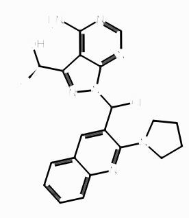 CC(c1cc2ccccc2nc1N1CCCC1)n1nc([C@@H](C)O)c2c(N)ncnc21